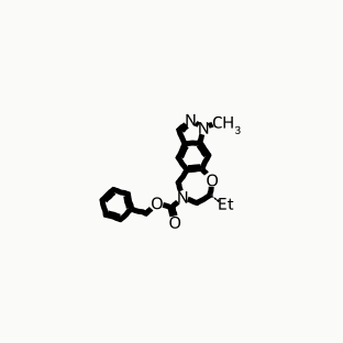 CC[C@@H]1CN(C(=O)OCc2ccccc2)Cc2cc3cnn(C)c3cc2O1